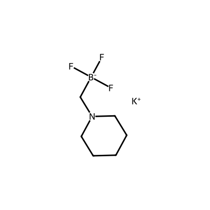 F[B-](F)(F)CN1CCCCC1.[K+]